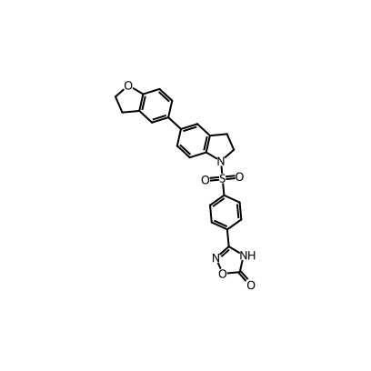 O=c1[nH]c(-c2ccc(S(=O)(=O)N3CCc4cc(-c5ccc6c(c5)CCO6)ccc43)cc2)no1